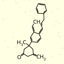 C=C1CC(=O)CC(C)(c2ccc(=C/CCc3ccccc3)/c(=C\C)c2)C1